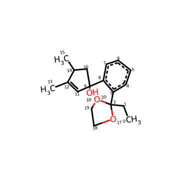 CCC1(c2ccccc2C2(O)C=C(C)C(C)C2)OCCO1